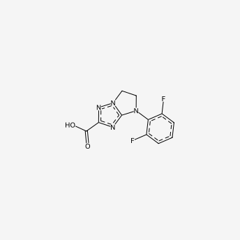 O=C(O)c1nc2n(n1)CCN2c1c(F)cccc1F